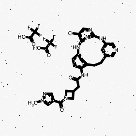 Cn1cc(C(=O)N2CC(CC(=O)Nc3ccc4cc3CCc3cncc(c3)Nc3ncc(Cl)c(n3)N4)C2)cn1.O=C(O)C(F)(F)F.O=C(O)C(F)(F)F